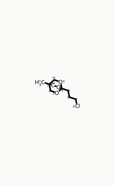 CC12COC(CCCCl)(OC1)OC2